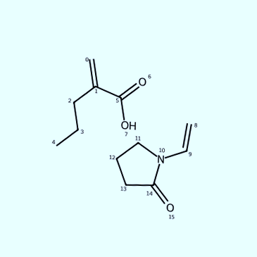 C=C(CCC)C(=O)O.C=CN1CCCC1=O